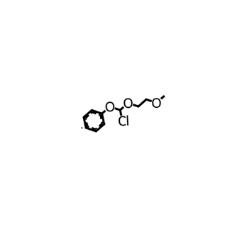 COCCOC(Cl)Oc1cc[c]cc1